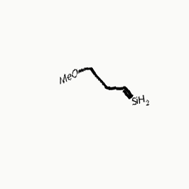 COCCC=[SiH2]